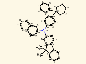 CC1(C)c2ccccc2-c2ccc(N(c3ccc(C4(c5ccccc5)CCCCC4)cc3)c3ccc4ccccc4c3)cc21